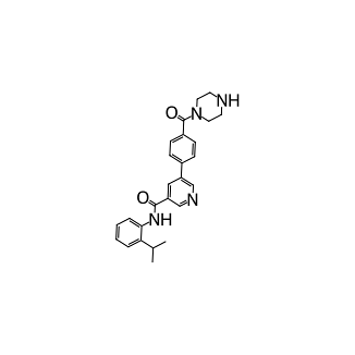 CC(C)c1ccccc1NC(=O)c1cncc(-c2ccc(C(=O)N3CCNCC3)cc2)c1